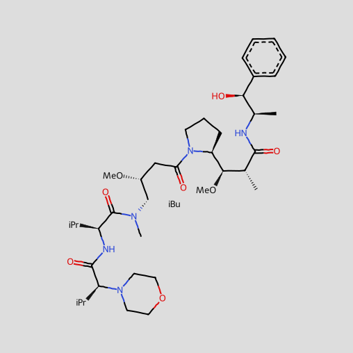 CC[C@H](C)[C@@H]([C@@H](CC(=O)N1CCC[C@H]1[C@H](OC)[C@@H](C)C(=O)N[C@H](C)[C@@H](O)c1ccccc1)OC)N(C)C(=O)[C@@H](NC(=O)[C@H](C(C)C)N1CCOCC1)C(C)C